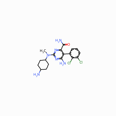 CN(c1nc(N)c(-c2cccc(Cl)c2Cl)c(C(N)=O)n1)C1CCC(N)CC1